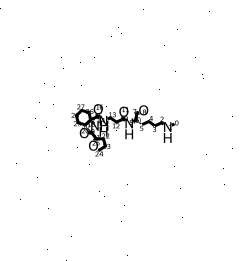 CNCCCC[C@@H](C=O)NC(=O)CCNC(=O)C1(NC(=O)C2CCCO2)CCCCC1